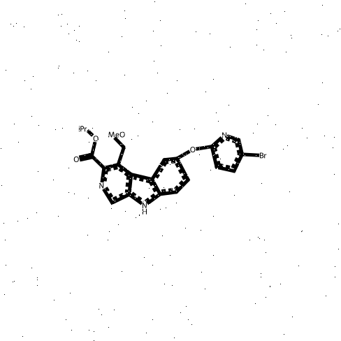 COCc1c(C(=O)OC(C)C)ncc2[nH]c3ccc(Oc4ccc(Br)cn4)cc3c12